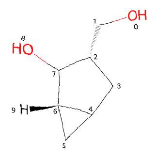 OC[C@@H]1CC2C[C@@H]2C1O